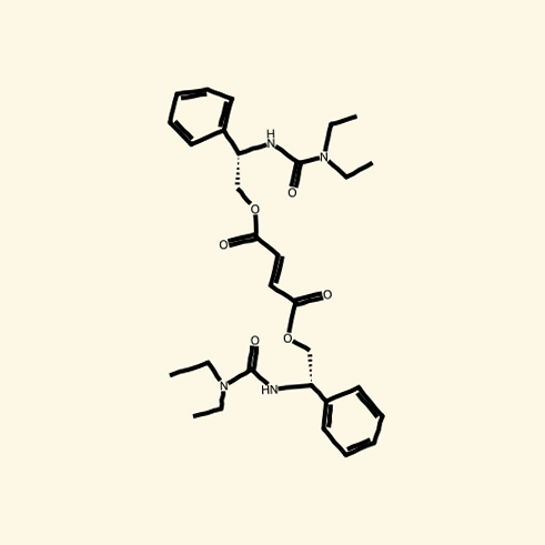 CCN(CC)C(=O)N[C@H](COC(=O)/C=C/C(=O)OC[C@@H](NC(=O)N(CC)CC)c1ccccc1)c1ccccc1